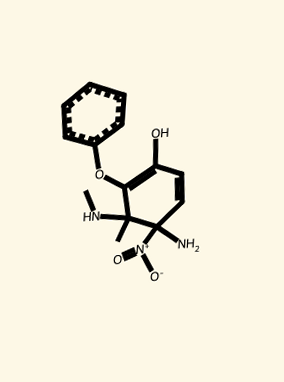 CNC1(C)C(Oc2ccccc2)=C(O)C=CC1(N)[N+](=O)[O-]